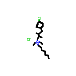 CCCCCCC[N+](CC)(CC)C/C(C)=C(\C)Cc1ccc(Cl)cc1.[Cl-]